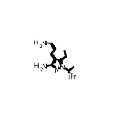 C\C=c1/c(=C\C=C/N)c(N)nn1C(C)C(C)C